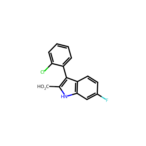 O=C(O)c1[nH]c2cc(F)ccc2c1-c1ccccc1Cl